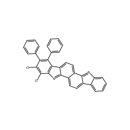 Clc1c(Cl)c(-c2ccccc2)c(-c2ccccc2)c2c1N=c1c-2ccc2c3c(ccc12)-c1ccccc1N=3